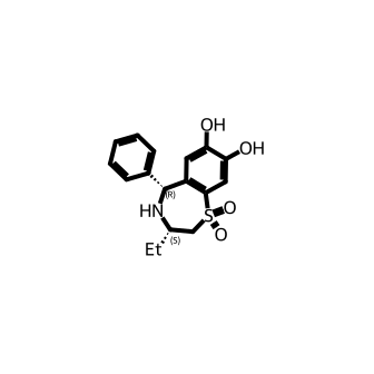 CC[C@H]1CS(=O)(=O)c2cc(O)c(O)cc2[C@@H](c2ccccc2)N1